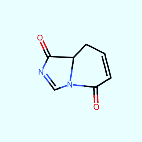 O=C1N=CN2C(=O)C=CCC12